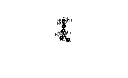 CO[C@H](CCC(O)c1ccc(F)cc1)[C@@H](c1ccc(-c2ccc([C@@H]3O[C@H](CO)[C@@H](O)[C@H](O)[C@H]3O)cc2)cc1O)N(C)c1ccccc1